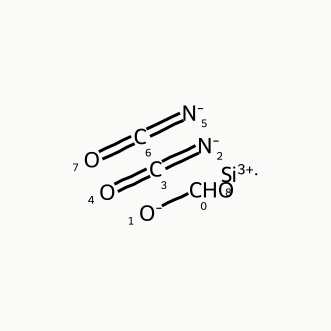 O=C[O-].[N-]=C=O.[N-]=C=O.[Si+3]